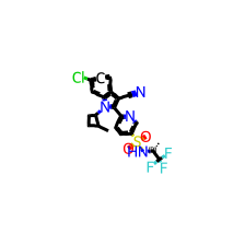 CC1CCC1n1c(-c2ccc(S(=O)(=O)N[C@H](C)C(F)(F)F)cn2)c(C#N)c2ccc(Cl)cc21